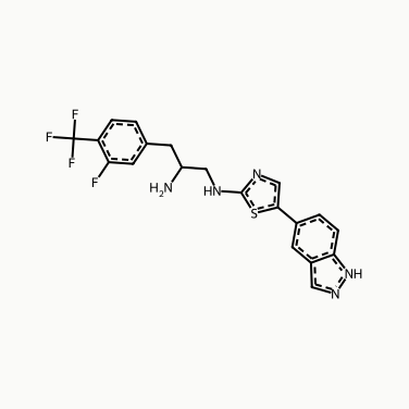 NC(CNc1ncc(-c2ccc3[nH]ncc3c2)s1)Cc1ccc(C(F)(F)F)c(F)c1